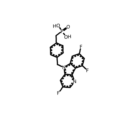 O=P(O)(O)Cc1ccc(Cn2c3cc(F)cnc3c3c(F)cc(F)cc32)cc1